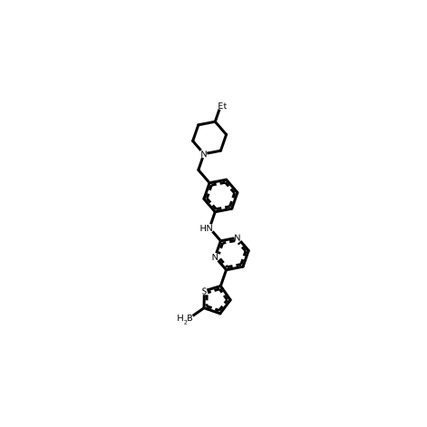 Bc1ccc(-c2ccnc(Nc3cccc(CN4CCC(CC)CC4)c3)n2)s1